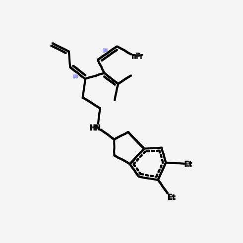 C=C/C=C(/CCNC1Cc2cc(CC)c(CC)cc2C1)C(/C=C\CCC)=C(C)C